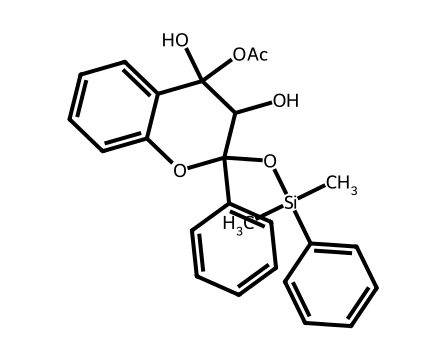 CC(=O)OC1(O)c2ccccc2OC(O[Si](C)(C)c2ccccc2)(c2ccccc2)C1O